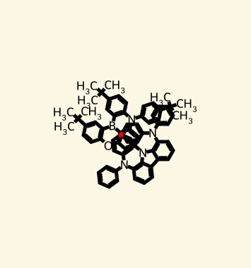 CC(C)(C)c1ccc(N2c3ccc(C(C)(C)C)cc3B3c4cc(C(C)(C)C)ccc4Oc4cc(-n5c6c(N(c7ccccc7)c7ccccc7)cccc6c6cccc(N(c7ccccc7)c7ccccc7)c65)cc2c43)cc1